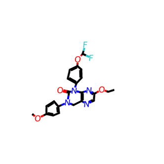 CCOc1cnc2c(n1)N(c1ccc(OC(F)F)cc1)C(=O)N(c1ccc(OC)cc1)C2